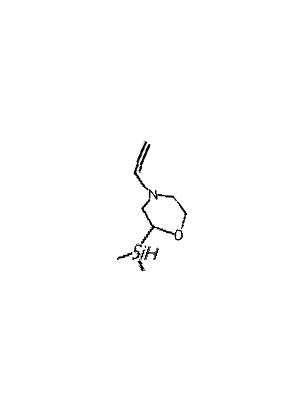 C=CN1CCOC([SiH](C)C)C1